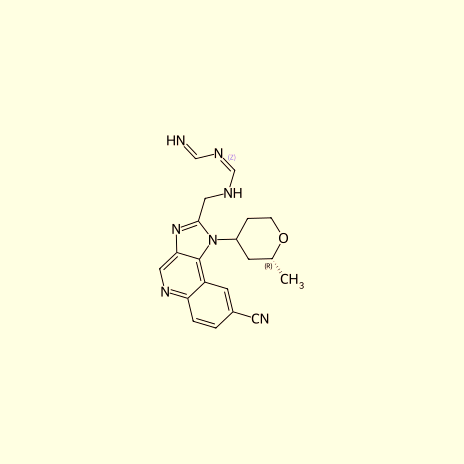 C[C@@H]1CC(n2c(CN/C=N\C=N)nc3cnc4ccc(C#N)cc4c32)CCO1